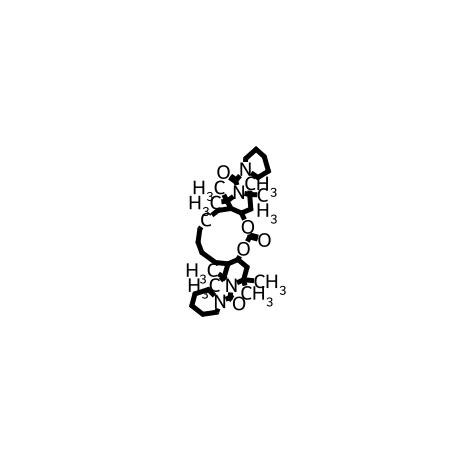 CC1(C)CC2OC(=O)OC3CC(C)(C)N(C(=O)N4CCCCC4)C(C)(C)C3CCCCCCC2C(C)(C)N1C(=O)N1CCCCC1